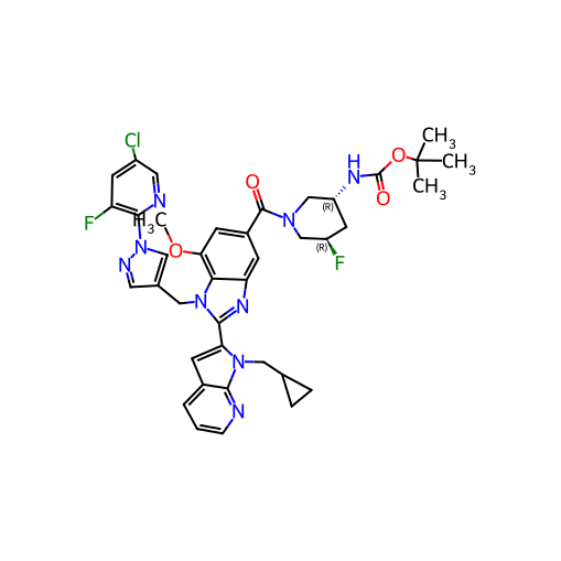 COc1cc(C(=O)N2C[C@H](F)C[C@@H](NC(=O)OC(C)(C)C)C2)cc2nc(-c3cc4cccnc4n3CC3CC3)n(Cc3cnn(-c4ncc(Cl)cc4F)c3)c12